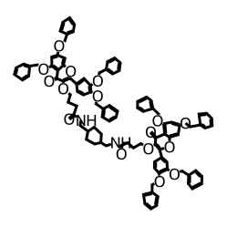 O=C(CCCOc1c(-c2ccc(OCc3ccccc3)c(OCc3ccccc3)c2)oc2cc(OCc3ccccc3)cc(OCc3ccccc3)c2c1=O)NCC1CCC(CNC(=O)CCCOc2c(-c3ccc(OCc4ccccc4)c(OCc4ccccc4)c3)oc3cc(OCc4ccccc4)cc(OCc4ccccc4)c3c2=O)CC1